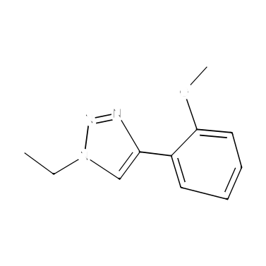 CCn1cc(-c2ccccc2OC)nn1